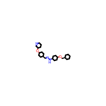 C(=N\Nc1ccc(OCc2ccccc2)cc1)/c1ccc(Oc2cccnc2)cc1